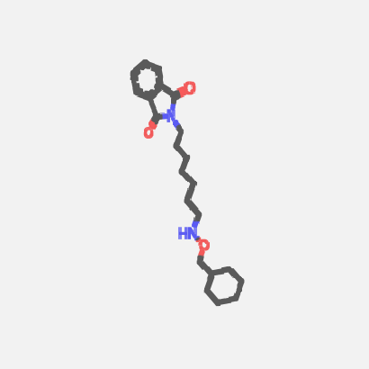 O=C1c2ccccc2C(=O)N1CCCCCCCNOCC1CCCCC1